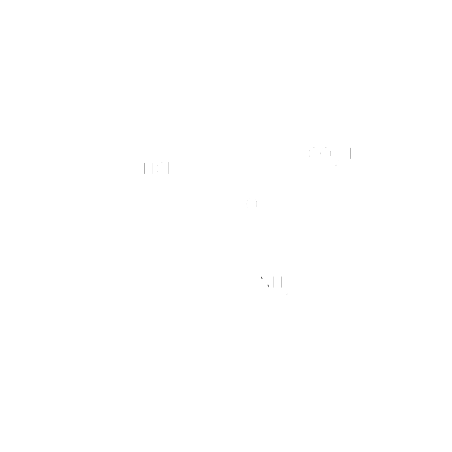 Cl.NC(OCC(=O)O)C1CCCCC1